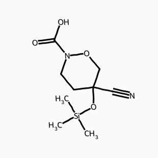 C[Si](C)(C)OC1(C#N)CCN(C(=O)O)OC1